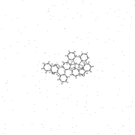 CC1(C)c2ccccc2-c2ccccc2C1(c1ccc(-c2nc3ccccc3nc2-c2ccccc2)cc1)c1cccc2oc3ccccc3c12